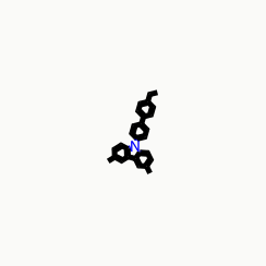 CCc1ccc(-c2ccc(-n3c4ccc(C)cc4c4cc(C)ccc43)cc2)cc1